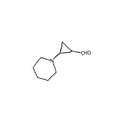 O=CC1CC1N1C[CH]CCC1